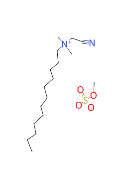 CCCCCCCCCCCC[N+](C)(C)CC#N.COS(=O)(=O)[O-]